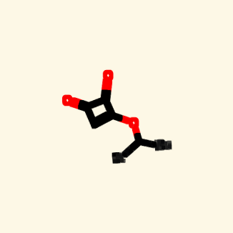 CCC(C)C(CC)Oc1cc(=O)c1=O